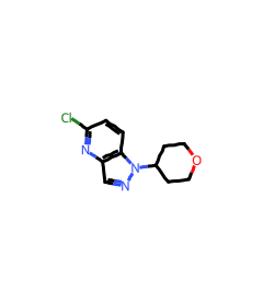 Clc1ccc2c(cnn2C2CCOCC2)n1